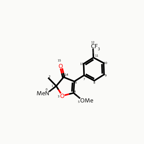 CNC1(C)OC(OC)=C(c2cccc(C(F)(F)F)c2)C1=O